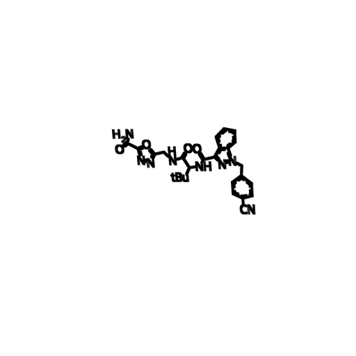 CC(C)(C)C(NC(=O)c1nn(Cc2ccc(C#N)cc2)c2ccccc12)C(=O)NCc1nnc(C(N)=O)o1